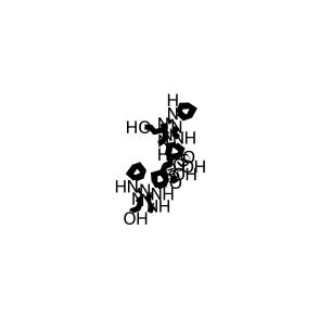 CNN1C(CCO)=NC(Nc2ccccc2)=NC1Nc1ccc(C=Cc2ccc(NC3N=C(Nc4ccccc4)N=C(CCO)N3NC)cc2S(=O)(=O)O)c(S(=O)(=O)O)c1